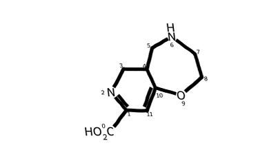 O=C(O)C1=NCC2CNCCOC2=C1